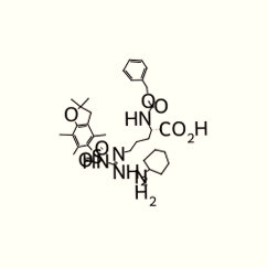 Cc1c(C)c(S(=O)(=O)NC(N)=NCCC[C@H](NC(=O)OCc2ccccc2)C(=O)O)c(C)c2c1OC(C)(C)C2.NC1CCCCC1